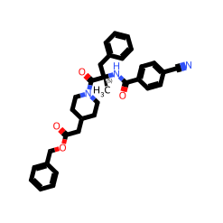 C[C@@](Cc1ccccc1)(NC(=O)c1ccc(C#N)cc1)C(=O)N1CCC(CC(=O)OCc2ccccc2)CC1